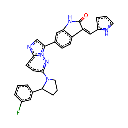 O=C1Nc2cc(-c3cnc4ccc(N5CCCC5c5cccc(F)c5)nn34)ccc2C1=Cc1ccc[nH]1